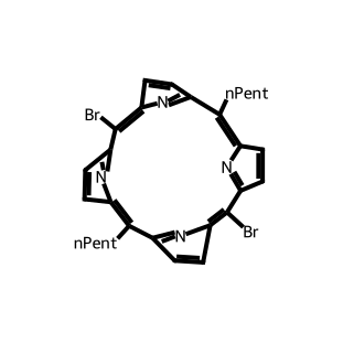 CCCCCC1=C2C=CC(=N2)C(Br)=C2C=CC(=N2)C(CCCCC)=C2C=CC(=N2)C(Br)=C2C=CC1=N2